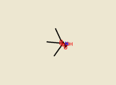 CCCCCCCCCCCCCCCCCCOc1ccc(COc2cc(OC)ccc2/C=N\O)c(OCCCCCCCCCCCCCCCCCC)c1OCCCCCCCCCCCCCCCCCC